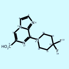 O=C(O)c1cn2ccnc2c(N2CCC(F)(F)CC2)n1